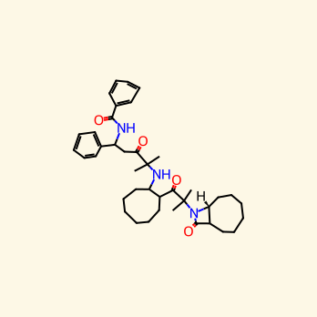 CC(C)(NC1CCCCCCC1C(=O)C(C)(C)N1C(=O)C2CCCCCC[C@H]21)C(=O)CC(NC(=O)c1ccccc1)c1ccccc1